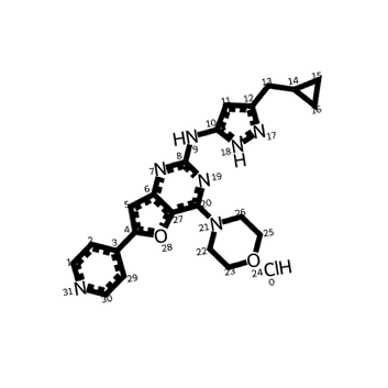 Cl.c1cc(-c2cc3nc(Nc4cc(CC5CC5)n[nH]4)nc(N4CCOCC4)c3o2)ccn1